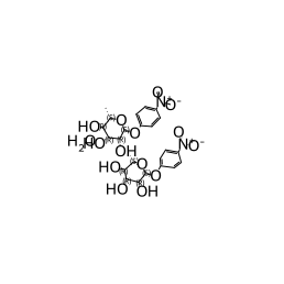 C[C@@H]1O[C@@H](Oc2ccc([N+](=O)[O-])cc2)[C@H](O)[C@H](O)[C@H]1O.C[C@@H]1O[C@@H](Oc2ccc([N+](=O)[O-])cc2)[C@H](O)[C@H](O)[C@H]1O.O